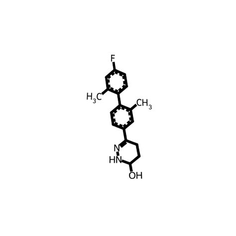 Cc1cc(F)ccc1-c1ccc(C2=NNC(O)CC2)cc1C